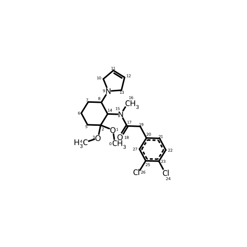 COC1(OC)CCCC(N2CC=CC2)C1N(C)C(=O)Cc1ccc(Cl)c(Cl)c1